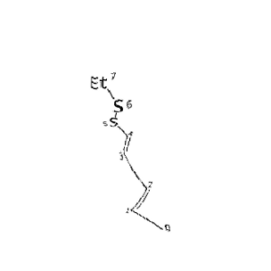 CC=C/C=C/SSCC